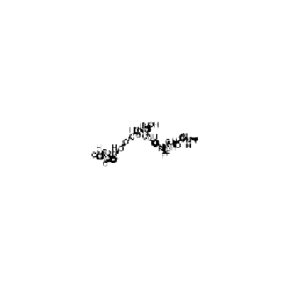 CC(C)(C)[C@H](NC(=O)COCCOCCOCCNc1cccc2c1C(=O)N(C1CCC(=O)NC1=O)C2=O)C(=O)N1C[C@H](O)C[C@H]1C(=O)NCc1ccc(-n2cc(NC(=O)c3coc(-c4ccnc(NCC5CC5)c4)n3)c(C(F)F)n2)cc1